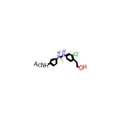 CC(=O)Nc1ccc(NC(=S)Nc2ccc(CCO)c(Cl)c2)cc1